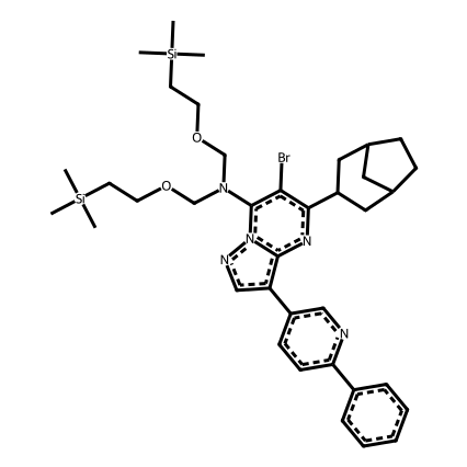 C[Si](C)(C)CCOCN(COCC[Si](C)(C)C)c1c(Br)c(C2CC3CCC(C3)C2)nc2c(-c3ccc(-c4ccccc4)nc3)cnn12